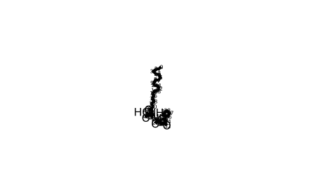 CC/C=C\C/C=C\C/C=C\C/C=C\C/C=C\CC=CCCC(=O)NC(CNC(=O)C1=CC(=O)C(C)(c2ccccc2)O1)C(=O)O